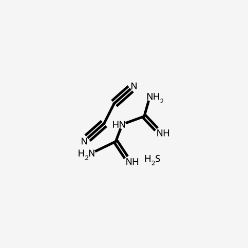 N#CC#N.N=C(N)NC(=N)N.S